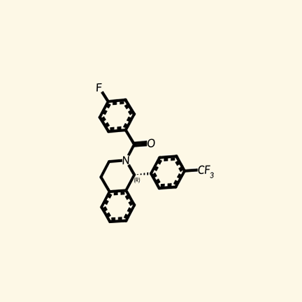 O=C(c1ccc(F)cc1)N1CCc2ccccc2[C@H]1c1ccc(C(F)(F)F)cc1